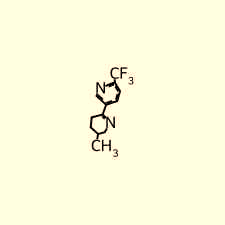 CC1CCC(c2ccc(C(F)(F)F)nc2)=NC1